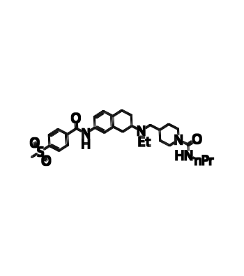 CCCNC(=O)N1CCC(CN(CC)C2CCc3ccc(NC(=O)c4ccc(S(C)(=O)=O)cc4)cc3C2)CC1